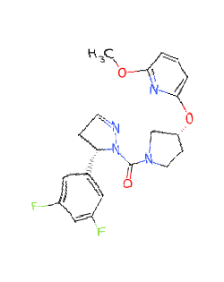 COc1cccc(O[C@@H]2CCN(C(=O)N3N=CC[C@H]3c3cc(F)cc(F)c3)C2)n1